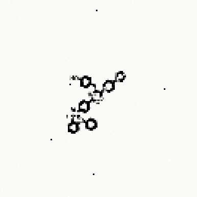 O=C(N[C@@H](Cc1ccc(O)cc1)C(=O)N1CCC(N2CCCC2)CC1)c1ccc(S(=O)(=O)Nc2ccccc2Oc2ccccc2)cc1